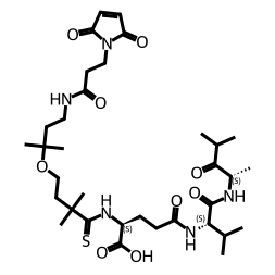 CC(C)C(=O)[C@H](C)NC(=O)[C@@H](NC(=O)CC[C@H](NC(=S)C(C)(C)CCOC(C)(C)CCNC(=O)CCN1C(=O)C=CC1=O)C(=O)O)C(C)C